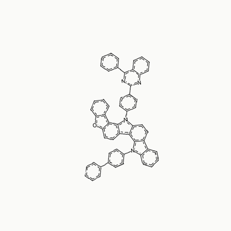 c1ccc(-c2ccc(-n3c4ccccc4c4ccc5c(c6ccc7oc8ccccc8c7c6n5-c5ccc(-c6nc(-c7ccccc7)c7ccccc7n6)cc5)c43)cc2)cc1